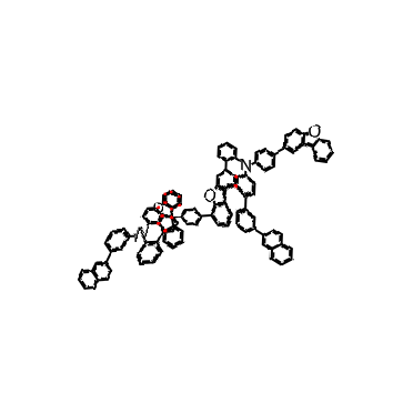 c1ccc(C2(c3ccc(-c4cccc5c4oc4cc(-c6ccccc6N(c6ccc(-c7cccc(-c8ccc9ccccc9c8)c7)cc6)c6ccc(-c7ccc8oc9ccccc9c8c7)cc6)ccc45)cc3)c3ccccc3-c3c(N(c4cccc(-c5ccc6ccccc6c5)c4)c4ccccc4-c4ccc5c(c4)oc4ccccc45)cccc32)cc1